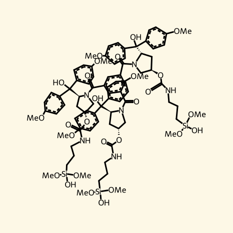 COc1ccc(C(O)(c2ccc(OC)cc2)[C@@H]2C[C@@H](OC(=O)NCCC[Si](O)(OC)OC)CN2C(=O)c2cc(C(=O)N3C[C@H](OC(=O)NCCC[Si](O)(OC)OC)C[C@H]3C(O)(c3ccc(OC)cc3)c3ccc(OC)cc3)cc(C(=O)N3C[C@H](OC(=O)NCCC[Si](O)(OC)OC)C[C@H]3C(O)(c3ccc(OC)cc3)c3ccc(OC)cc3)c2)cc1